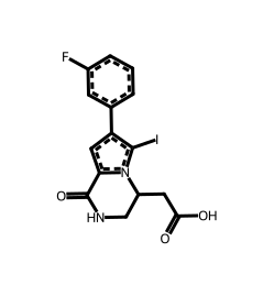 O=C(O)CC1CNC(=O)c2cc(-c3cccc(F)c3)c(I)n21